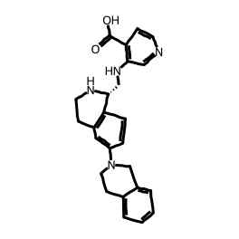 O=C(O)c1ccncc1NC[C@H]1NCCc2cc(N3CCc4ccccc4C3)ccc21